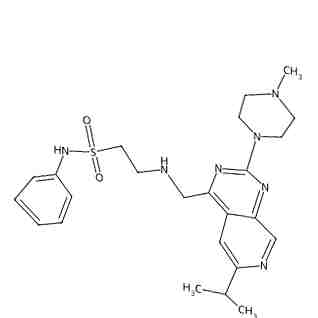 CC(C)c1cc2c(CNCCS(=O)(=O)Nc3ccccc3)nc(N3CCN(C)CC3)nc2cn1